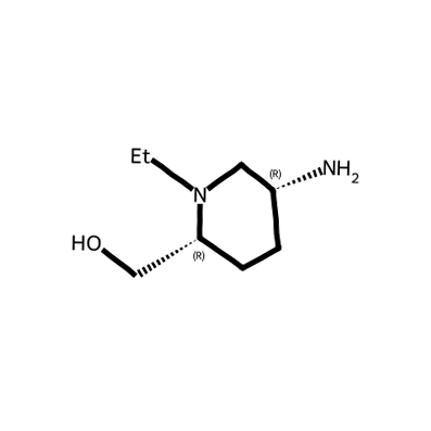 CCN1C[C@H](N)CC[C@@H]1CO